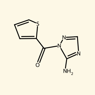 Nc1ncnn1C(=O)c1cccs1